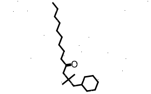 CCCCCCCCCC(=O)CC(C)(C)CC1CCCCC1